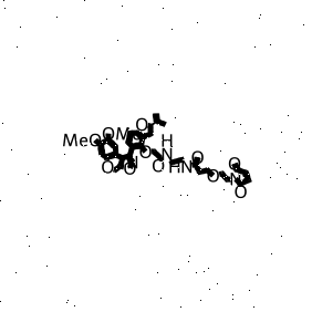 C=C(C)[C@H]1Cc2c(ccc(C3=NOC4COc5cc(OC)c(OC)cc5C34)c2OCC(=O)NCCNC(=O)CCOCCN2C(=O)C=CC2=O)O1